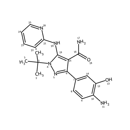 CC(C)(C)n1nc(-c2ccc(N)c(O)c2)c(C(N)=O)c1Nc1ccccn1